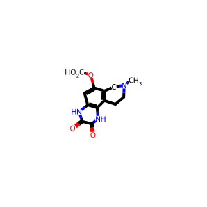 CN1CCc2c(c(OC(=O)O)cc3[nH]c(=O)c(=O)[nH]c23)C1